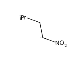 CC(C)C[CH][N+](=O)[O-]